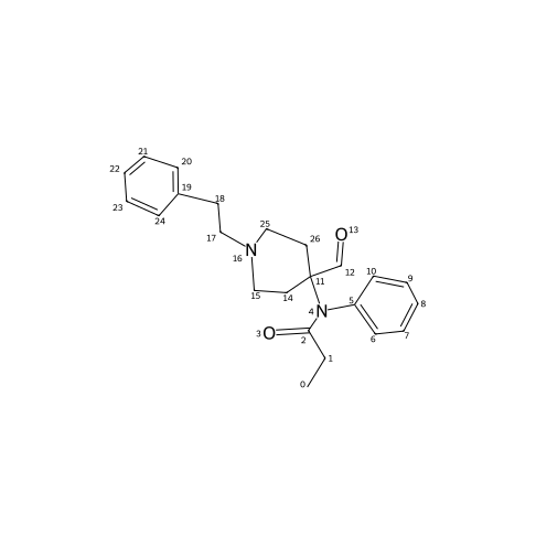 CCC(=O)N(c1ccccc1)C1(C=O)CCN(CCc2ccccc2)CC1